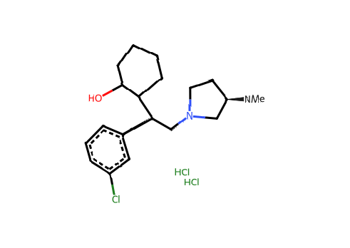 CN[C@@H]1CCN(CC(c2cccc(Cl)c2)C2CCCCC2O)C1.Cl.Cl